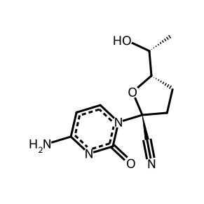 C[C@@H](O)[C@@H]1CC[C@](C#N)(n2ccc(N)nc2=O)O1